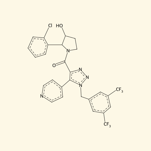 O=C(c1nnn(Cc2cc(C(F)(F)F)cc(C(F)(F)F)c2)c1-c1ccncc1)N1CCC(O)C1c1ccccc1Cl